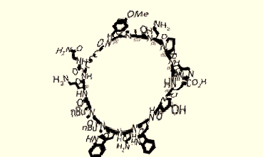 CCCC[C@H]1C(=O)N(C)[C@@H](CCCC)C(=O)N[C@@H](CCCN)C(=O)N[C@H](C(=O)NCC(N)=O)CSCC(=O)N[C@@H](Cc2ccc(OC)cc2)C(=O)N(C)[C@@H](C)C(=O)N[C@@H](CCN)C(=O)N2CCC[C@H]2C(=O)N[C@@H](Cc2cnc[nH]2)C(=O)N[C@@H](CCC(=O)O)C(=O)N2C[C@H](O)C[C@H]2C(=O)N[C@@H](Cc2c[nH]c3ccccc23)C(=O)N[C@@H](CCN)C(=O)N[C@@H](Cc2c[nH]c3ccccc23)C(=O)N1C